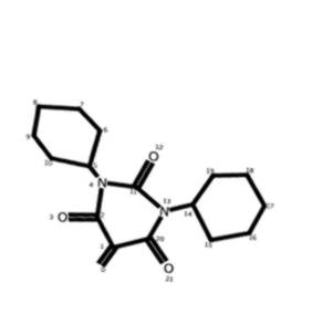 C=C1C(=O)N(C2CCCCC2)C(=O)N(C2CCCCC2)C1=O